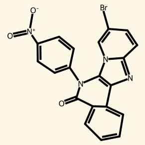 O=c1c2ccccc2c2nc3ccc(Br)cn3c2n1-c1ccc([N+](=O)[O-])cc1